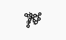 Cc1cc2c3c4c1c1ccccc1n4-c1cc4oc(-c5ccccc5)cc4cc1B3N(c1ccc3c(c1)C(C)(C)CCC3(C)C)c1cc(N(c3ccccc3)c3ccccc3)ccc1-2